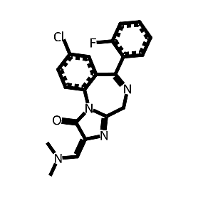 CN(C)C=C1N=C2CN=C(c3ccccc3F)c3cc(Cl)ccc3N2C1=O